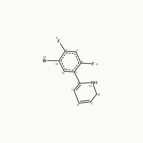 Fc1cc(F)c(C2=CC=CCN2)cc1Br